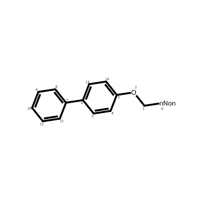 CCCCCCCCCCOc1ccc(-c2ccccc2)cc1